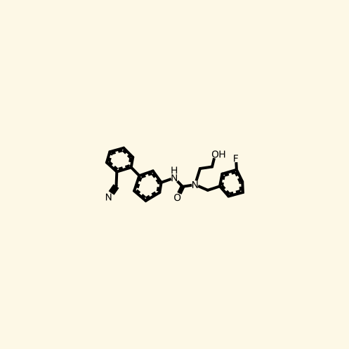 N#Cc1ccccc1-c1cccc(NC(=O)N(CCO)Cc2cccc(F)c2)c1